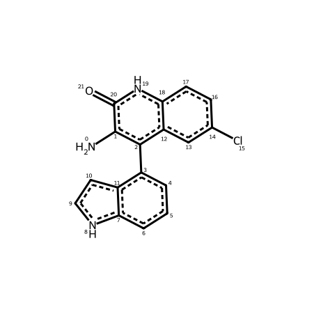 Nc1c(-c2cccc3[nH]ccc23)c2cc(Cl)ccc2[nH]c1=O